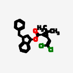 CC1(C)[C@H](C(=O)O[C@H]2C[C@H](Cc3ccccc3)c3ccccc32)[C@@H]1C=C(Cl)Cl